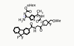 CCCCCCOC(=O)/N=C(/N)c1csc([C@@H](C)NC(=O)[C@@H]2C[C@](F)(COC)CN2C(=O)CNC(=O)c2ccc3c(c2)-c2ccccc2C3(F)F)c1